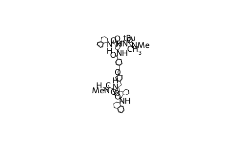 CN[C@@H](C)C(=O)N[C@@H](Cc1ccc(OCc2ccc(C(=O)N[C@H]3C[C@@H](C(=O)N[C@@H]4CCCc5ccccc54)N(C(=O)[C@@H](NC(=O)[C@H](C)NC)C(C)(C)C)C3)cc2)cc1)C(=O)[C@H]1CC=CC[C@H]1C(=O)N[C@@H]1CCCc2ccccc21